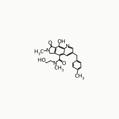 Cc1ccc(Cc2cnc3c(O)c4c(c(C(=O)N(C)CCO)c3c2)CN(C)C4=O)cc1